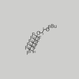 CCCCOCCOC(F)(F)C(F)(F)C(F)(F)C(F)(F)C(F)(F)I